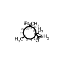 CC1CCCC(C)(C(N)=O)CCC(C)(C(C)C)CCC1